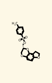 Cc1ccc(S(=O)(=O)OC[C@H]2COc3ccc4c(c3O2)CCO4)cc1